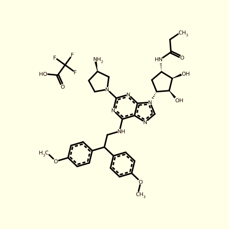 CCC(=O)N[C@H]1C[C@@H](n2cnc3c(NCC(c4ccc(OC)cc4)c4ccc(OC)cc4)nc(N4CC[C@@H](N)C4)nc32)[C@H](O)[C@@H]1O.O=C(O)C(F)(F)F